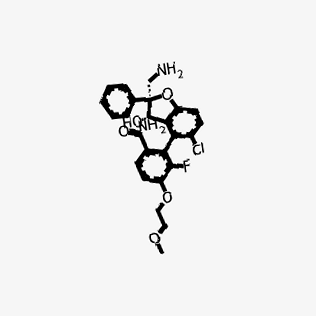 COCCOc1ccc(C(N)=O)c(-c2c(Cl)ccc3c2[C@H](O)[C@@](CN)(c2ccccc2)O3)c1F